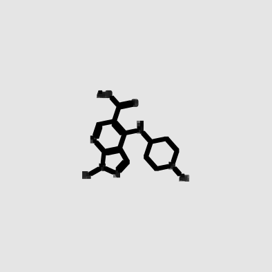 CCn1ncc2c(NC3CCN(C(C)=O)CC3)c(C(=O)OC(C)=O)cnc21